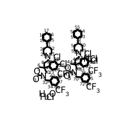 Cl.Cl.O.O=C1OCC(CCN2CCC(c3ccccc3)CC2)(c2ccc(Cl)c(Cl)c2)CN1Cc1cc(C(F)(F)F)cc(C(F)(F)F)c1.O=C1OCC(CCN2CCC(c3ccccc3)CC2)(c2ccc(Cl)c(Cl)c2)CN1Cc1cc(C(F)(F)F)cc(C(F)(F)F)c1